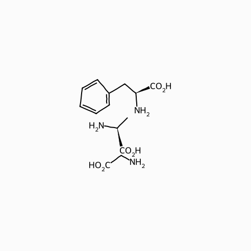 C[C@H](N)C(=O)O.NCC(=O)O.N[C@@H](Cc1ccccc1)C(=O)O